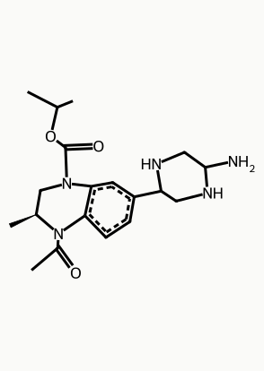 CC(=O)N1c2ccc(C3CNC(N)CN3)cc2N(C(=O)OC(C)C)C[C@@H]1C